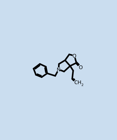 C=CCC12CN(Cc3ccccc3)CC1COC2=O